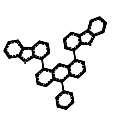 c1ccc(-c2c3cccc(-c4cccc5c4sc4ccccc45)c3cc3c(-c4cccc5c4sc4ccccc45)cccc23)cc1